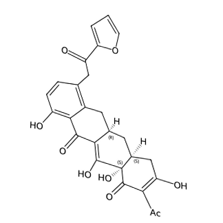 CC(=O)C1=C(O)C[C@@H]2C[C@@H]3Cc4c(CC(=O)c5ccco5)ccc(O)c4C(=O)C3=C(O)[C@]2(O)C1=O